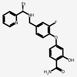 CC[C@@H](NCc1ccc(Oc2ccc(C(N)=O)c(O)c2)c(F)c1)c1ccccn1